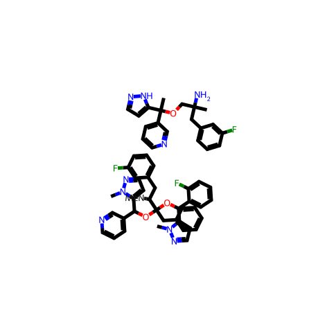 CC(N)(COC(C)(c1cccnc1)c1ccn[nH]1)Cc1cccc(F)c1.CNC(Cc1cccc(F)c1)C(Cc1ccccc1)(OC(c1cccnc1)c1ccnn1C)OC(c1ccccc1F)c1ccnn1C